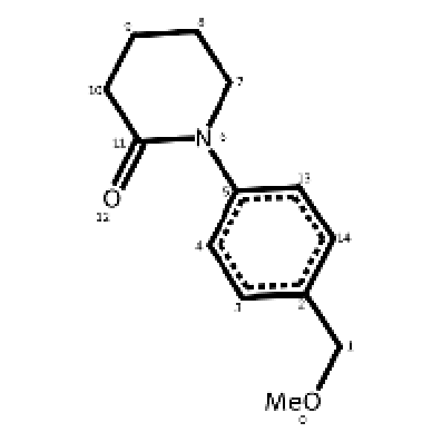 COCc1ccc(N2CCCCC2=O)cc1